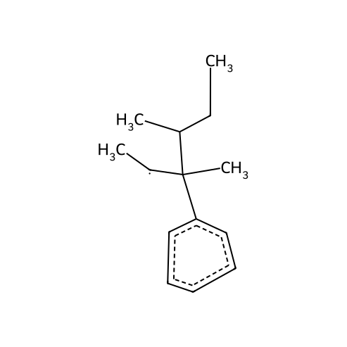 C[CH]C(C)(c1ccccc1)C(C)CC